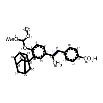 CCOC(OC)Oc1ccc(/C(C)=C/c2ccc(C(=O)O)cc2)cc1C12CC3CC(CC(C3)C1)C2